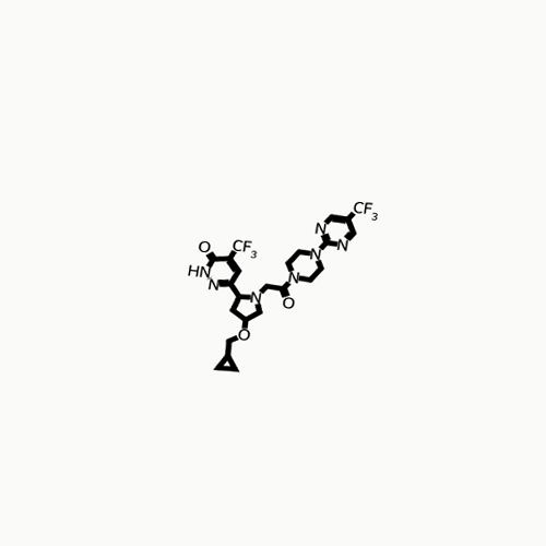 O=C(CN1CC(OCC2CC2)CC1c1cc(C(F)(F)F)c(=O)[nH]n1)N1CCN(c2ncc(C(F)(F)F)cn2)CC1